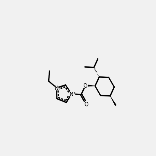 CCn1cc[n+](C(=O)O[C@@H]2C[C@H](C)CC[C@H]2C(C)C)c1